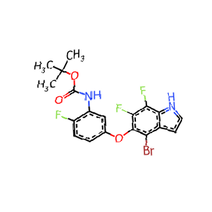 CC(C)(C)OC(=O)Nc1cc(Oc2c(F)c(F)c3[nH]ccc3c2Br)ccc1F